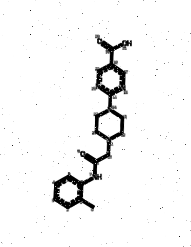 Cc1ccccc1NC(=O)CN1CCN(c2ncc(C(=O)O)cn2)CC1